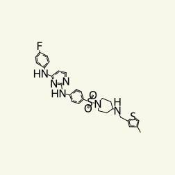 Cc1csc(CNC2CCN(S(=O)(=O)c3ccc(Nc4nccc(Nc5ccc(F)cc5)n4)cc3)CC2)c1